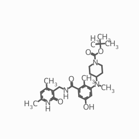 Cc1cc(C)c(CNC(=O)c2cc(O)cc(N(C)C3CCN(C(=O)OC(C)(C)C)CC3)c2C)c(=O)[nH]1